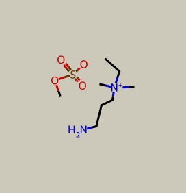 CC[N+](C)(C)CCCN.COS(=O)(=O)[O-]